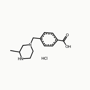 CC1CN(Cc2ccc(C(=O)O)cc2)CCN1.Cl